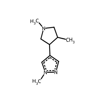 CC1CN(C)CC1c1cnn(C)c1